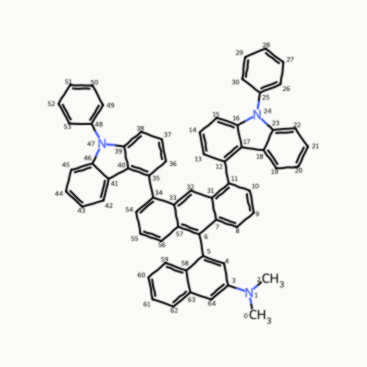 CN(C)c1cc(-c2c3cccc(-c4cccc5c4c4ccccc4n5-c4ccccc4)c3cc3c(-c4cccc5c4c4ccccc4n5-c4ccccc4)cccc23)c2ccccc2c1